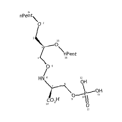 CCCCCOC[C@H](CON[C@@H](COP(=O)(O)O)C(=O)O)OCCCCC